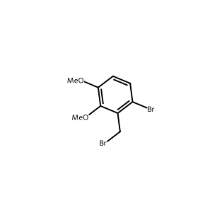 COc1ccc(Br)c(CBr)c1OC